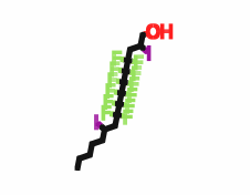 CCCCCC(I)CC(F)(F)C(F)(F)C(F)(F)C(F)(F)C(F)(F)C(F)(F)CC(I)CO